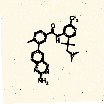 Cc1ccc(C(=O)Nc2cc(C(F)(F)F)ccc2C(C)(C)CN(C)C)cc1-c1ccc2nc(N)ncc2c1